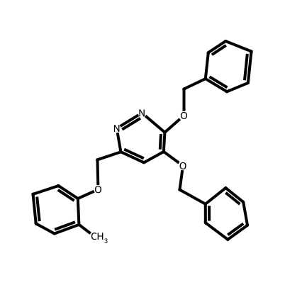 Cc1ccccc1OCc1cc(OCc2ccccc2)c(OCc2ccccc2)nn1